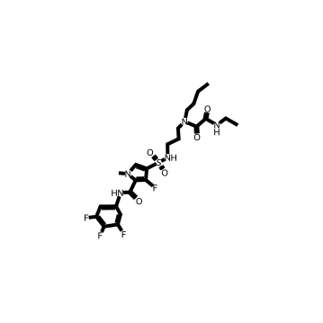 CCCCN(CCCNS(=O)(=O)c1cn(C)c(C(=O)Nc2cc(F)c(F)c(F)c2)c1F)C(=O)C(=O)NCC